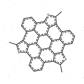 Cc1sc2c3cccc4c5c(C)sc6c7cccc8c9c(C)sc%10c%11cccc%12c1c2c1c(c34)c(c65)c(c78)c(c%109)c1c%11%12